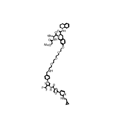 COCC(=O)N[C@H](C(=O)N1Cc2cc(OCCOCCOCCOCCNCc3ccc(-n4cc(NC(=O)c5coc(-c6ccnc(NCC7CC7)c6)n5)c(C(F)F)n4)cc3)ccc2CC1C(=O)N[C@@H]1CCCc2ccccc21)C(C)(C)C